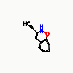 C#CC1=Cc2ccccc2ON1